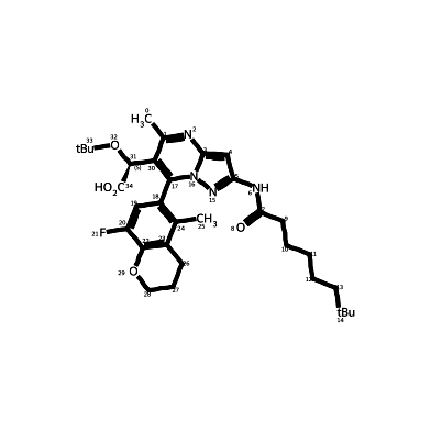 Cc1nc2cc(NC(=O)CCCCCC(C)(C)C)nn2c(-c2cc(F)c3c(c2C)CCCO3)c1[C@H](OC(C)(C)C)C(=O)O